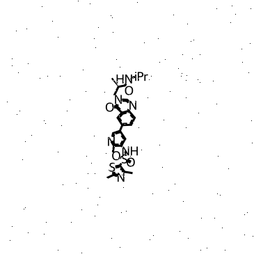 Cc1nc(C)c(S(=O)(=O)Nc2cc(-c3ccc4ncn(C[C@@H](C)C(=O)NC(C)C)c(=O)c4c3)cnc2C)s1